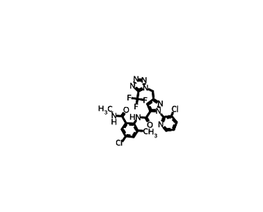 CNC(=O)c1cc(Cl)cc(C)c1NC(=O)c1cc(Cn2nnnc2C(F)(F)F)nn1-c1ncccc1Cl